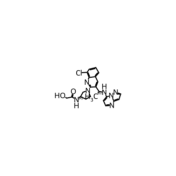 C[C@H](Nc1ccnc2ccnn12)c1cc2cccc(Cl)c2nc1N1CC[C@@H](NC(=O)CO)C1